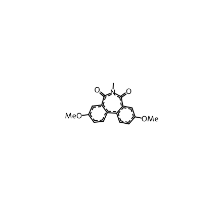 COc1ccc2c(c1)c(=O)n(C)c(=O)c1cc(OC)ccc12